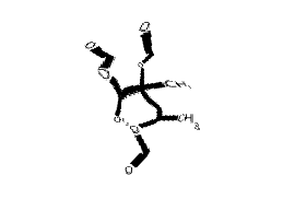 CC(OC=O)C(C)(OC=O)C(C)OC=O